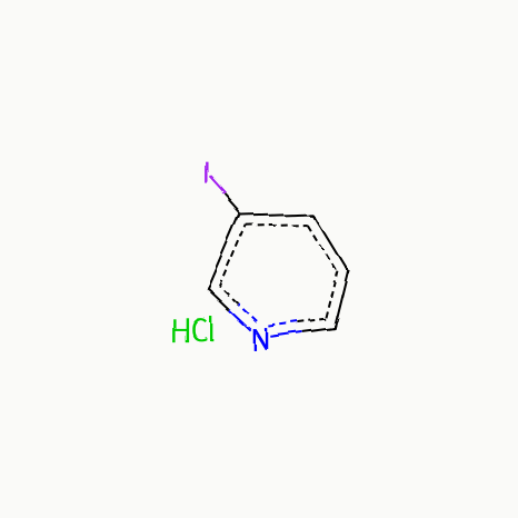 Cl.Ic1cccnc1